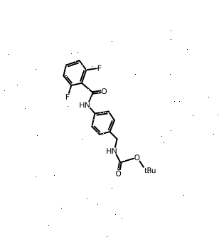 CC(C)(C)OC(=O)NCc1ccc(NC(=O)c2c(F)cccc2F)cc1